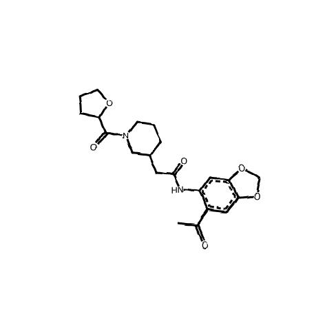 CC(=O)c1cc2c(cc1NC(=O)CC1CCCN(C(=O)C3CCCO3)C1)OCO2